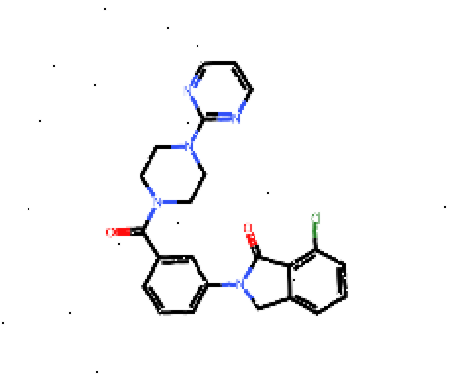 O=C(c1cccc(N2Cc3cccc(Cl)c3C2=O)c1)N1CCN(c2ncccn2)CC1